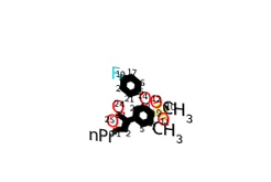 CCCC1C=C(c2cc(C)c(S(C)(=O)=O)c(Oc3ccc(F)cc3)c2)C(=O)O1